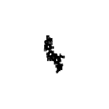 CCn1cc(-c2cnn(C)c2)cc(N[C@H]2CC[C@@H](c3ccc(OC(F)F)nc3)CC2)c1=O